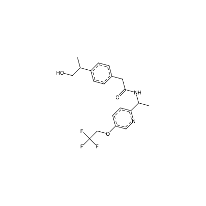 CC(CO)c1ccc(CC(=O)NC(C)c2ccc(OCC(F)(F)F)cn2)cc1